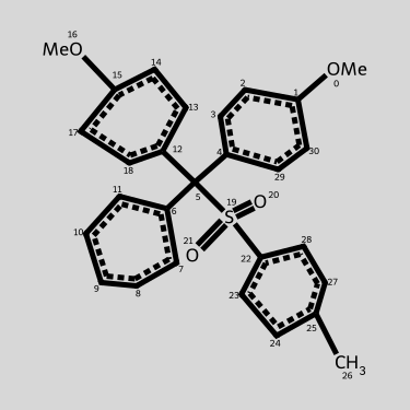 COc1ccc(C(c2ccccc2)(c2ccc(OC)cc2)S(=O)(=O)c2ccc(C)cc2)cc1